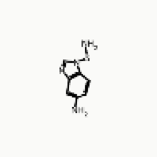 NSn1cnc2cc(N)ccc21